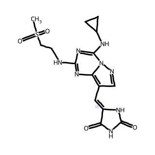 CS(=O)(=O)CCNc1nc(NC2CC2)n2ncc(/C=C3\NC(=O)NC3=O)c2n1